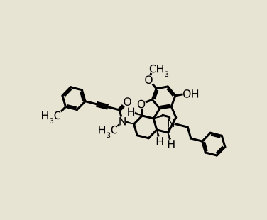 COc1cc(O)c2c3c1O[C@H]1[C@H](N(C)C(=O)C#Cc4cccc(C)c4)CC[C@H]4[C@@H](C2)N(CCc2ccccc2)CC[C@@]341